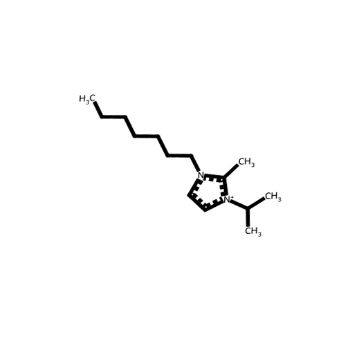 CCCCCCCn1cc[n+](C(C)C)c1C